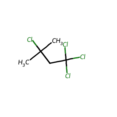 CC(C)(Cl)CC(Cl)(Cl)Cl